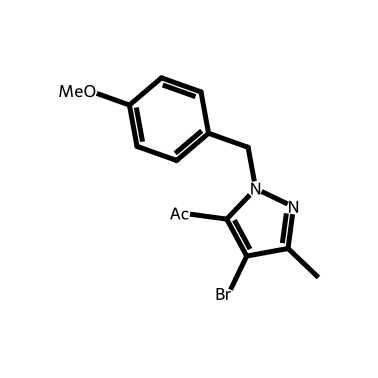 COc1ccc(Cn2nc(C)c(Br)c2C(C)=O)cc1